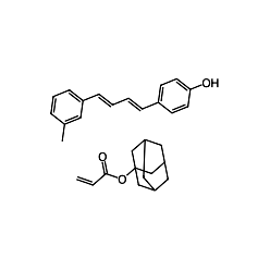 C=CC(=O)OC12CC3CC(CC(C3)C1)C2.Cc1cccc(C=CC=Cc2ccc(O)cc2)c1